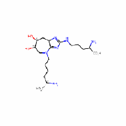 NC(CCCNC1=NC2C[C@H](O)[C@H](O)CN(CCCC[C@H](N)C(=O)O)C2=N1)C(=O)O